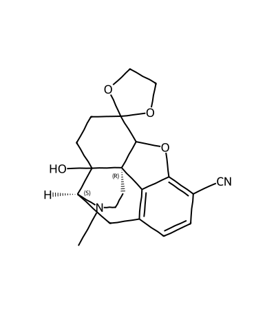 CN1CC[C@@]23c4c5ccc(C#N)c4OC2C2(CCC3(O)[C@@H]1C5)OCCO2